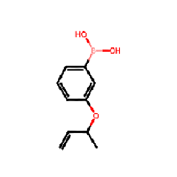 C=CC(C)Oc1cccc(B(O)O)c1